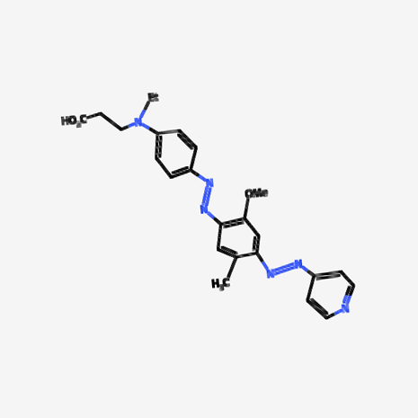 CCN(CCC(=O)O)c1ccc(N=Nc2cc(C)c(N=Nc3ccncc3)cc2OC)cc1